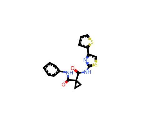 O=C(Nc1ccccc1)C1(C(=O)Nc2nc(-c3cccs3)cs2)CC1